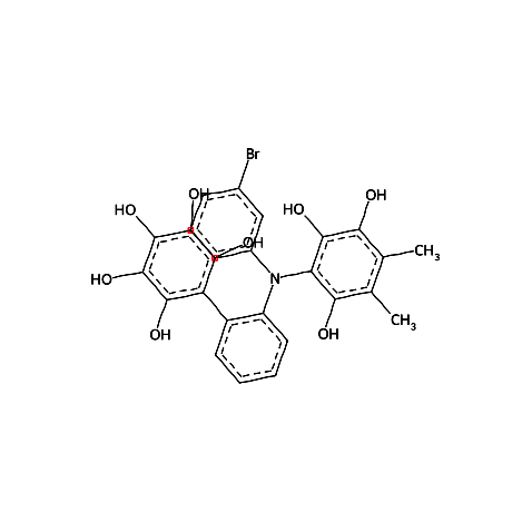 Cc1c(C)c(O)c(N(c2cccc(Br)c2)c2ccccc2-c2c(O)c(O)c(O)c(O)c2O)c(O)c1O